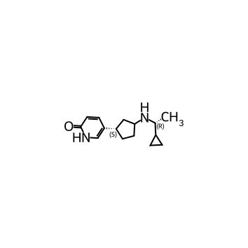 C[C@@H](NC1CC[C@H](c2ccc(=O)[nH]c2)C1)C1CC1